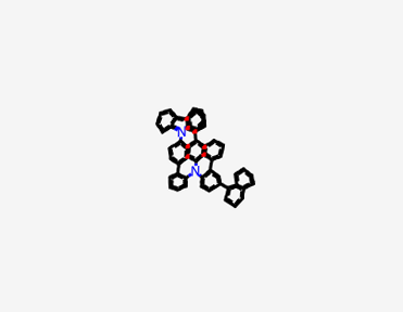 c1ccc(-c2ccc(N(c3ccccc3-c3ccc(-n4c5ccccc5c5ccccc54)cc3)c3ccc(-c4cccc5ccccc45)cc3-c3ccccc3)cc2)cc1